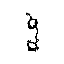 Brc1ccc(CCOc2ncccn2)cc1